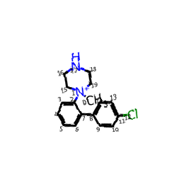 C[N+]1(c2ccccc2-c2ccc(Cl)cc2)CCNCC1